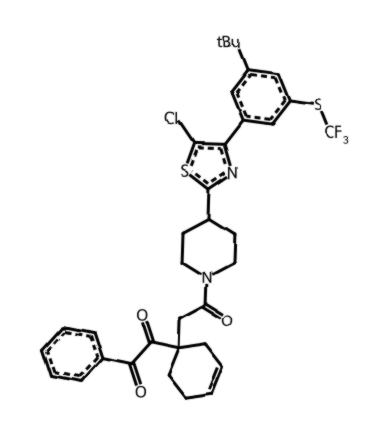 CC(C)(C)c1cc(SC(F)(F)F)cc(-c2nc(C3CCN(C(=O)CC4(C(=O)C(=O)c5ccccc5)CC=CCC4)CC3)sc2Cl)c1